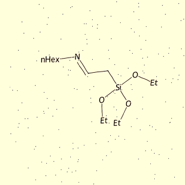 CCCCCCN=CC[Si](OCC)(OCC)OCC